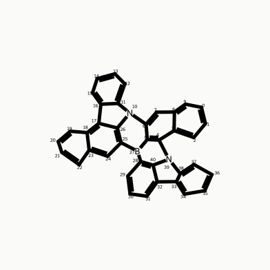 c1ccc2c3c4c(cc2c1)-n1c2ccccc2c2c5ccccc5cc(c21)B4c1cccc2c4ccccc4n-3c12